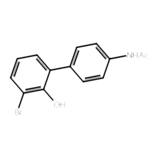 CC(=O)Nc1ccc(-c2cccc(Br)c2O)cc1